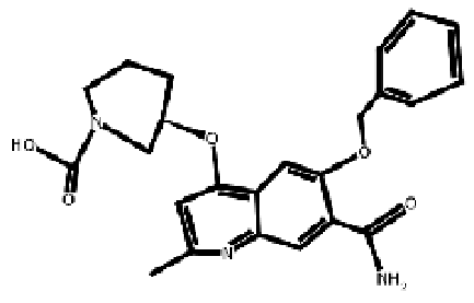 Cc1cc(O[C@@H]2CCCN(C(=O)O)C2)c2cc(OCc3ccccc3)c(C(N)=O)cc2n1